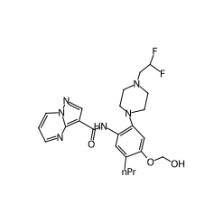 CCCc1cc(NC(=O)c2cnn3cccnc23)c(N2CCN(CC(F)F)CC2)cc1OCO